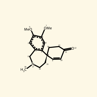 COc1cc2c(cc1OC)[C@]1(C=CC(=O)CC1)CCN(C)C2